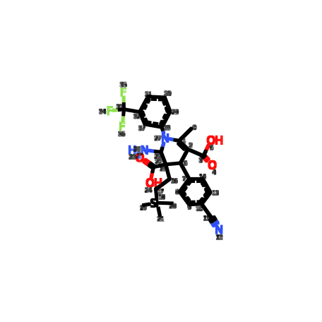 CC1=C(C(=O)O)C(c2ccc(C#N)cc2)C(CC[Si](C)(C)C)(C(=O)O)C(N)N1c1cccc(C(F)(F)F)c1